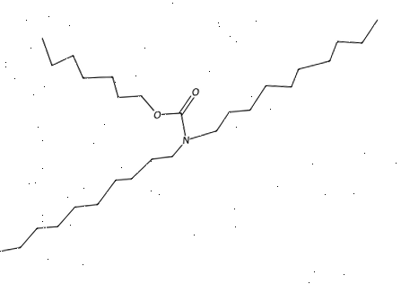 CCCCCCCCCCN(CCCCCCCCCC)C(=O)OCCCCCCC